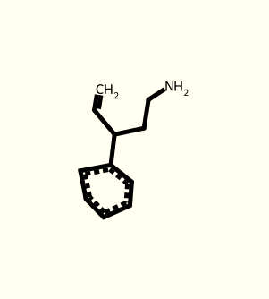 C=CC(CCN)c1ccccc1